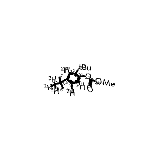 [2H]c1c([2H])c(C(C)(C)C([2H])([2H])[2H])c([2H])c(C(C)(C)C)c1OC(=O)OC